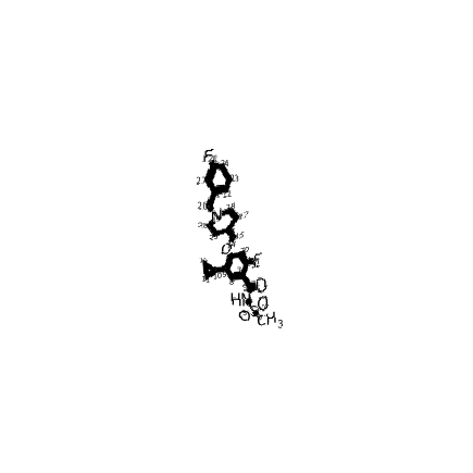 CS(=O)(=O)NC(=O)c1cc(C2CC2)c(OCC2CCN(Cc3cccc(F)c3)CC2)cc1F